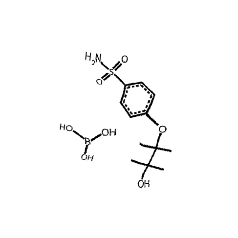 CC(C)(O)C(C)(C)Oc1ccc(S(N)(=O)=O)cc1.OB(O)O